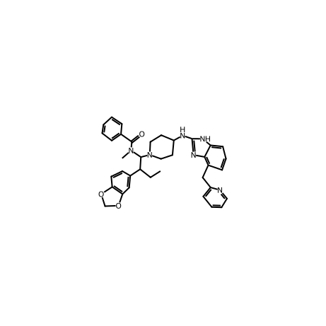 CCC(c1ccc2c(c1)OCO2)C(N1CCC(Nc2nc3c(Cc4ccccn4)cccc3[nH]2)CC1)N(C)C(=O)c1ccccc1